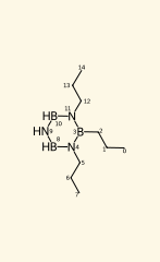 CCCB1N(CCC)BNBN1CCC